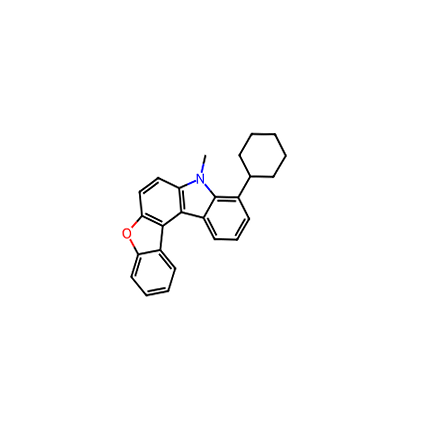 Cn1c2ccc3oc4ccccc4c3c2c2cccc(C3CCCCC3)c21